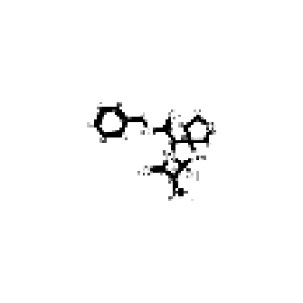 NC1C(=O)N2C(C(=O)OCc3ccccc3)C3(CCOC3)S[C@H]12